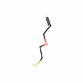 C=CCOCCS